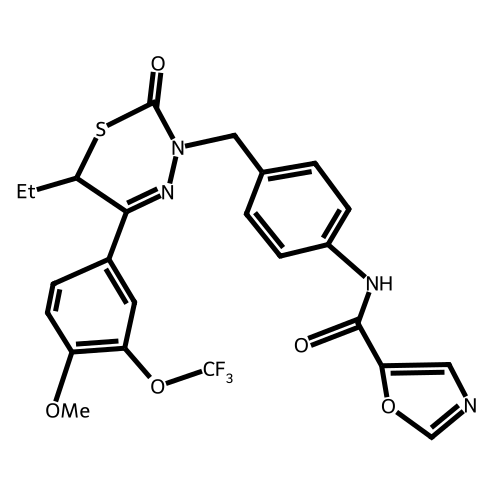 CCC1SC(=O)N(Cc2ccc(NC(=O)c3cnco3)cc2)N=C1c1ccc(OC)c(OC(F)(F)F)c1